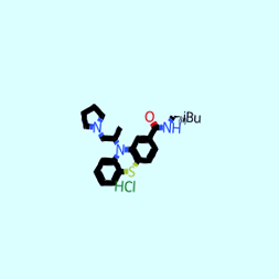 CC[C@@H](C)CNC(=O)c1ccc2c(c1)N(C(C)CN1CCCC1)c1ccccc1S2.Cl